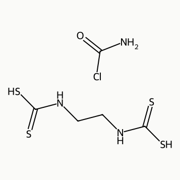 NC(=O)Cl.S=C(S)NCCNC(=S)S